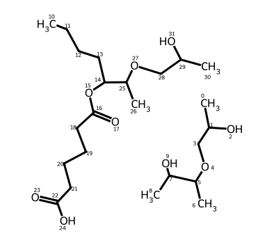 CC(O)COC(C)C(C)O.CCCCC(OC(=O)CCCCC(=O)O)C(C)OCC(C)O